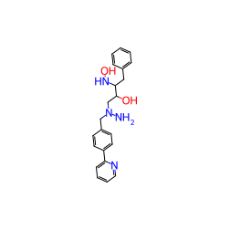 NN(Cc1ccc(-c2ccccn2)cc1)CC(O)C(Cc1ccccc1)NO